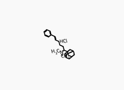 CN(C)C(CCCC=Cc1ccccc1)C12CC3CC(CC(C3)C1)C2.Cl